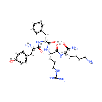 N=C(N)NCCC[C@H](NC(=O)[C@@H](Cc1ccccc1)NC(=O)[C@@H](N)Cc1ccc(O)cc1)C(=O)N[C@@H](CCCCN)C(N)=O